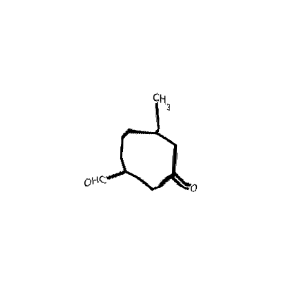 CC1CC(=O)CC(C=O)C1